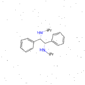 CC(C)N[C@@H](c1ccccc1)[C@@H](NC(C)C)c1ccccc1